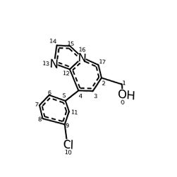 OCc1cc(-c2cccc(Cl)c2)c2nccn2c1